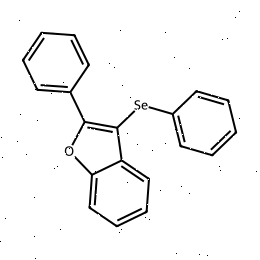 c1ccc([Se]c2c(-c3ccccc3)oc3ccccc23)cc1